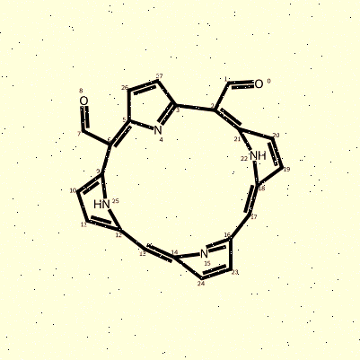 O=Cc1c2nc(c(C=O)c3ccc(cc4nc(cc5ccc1[nH]5)C=C4)[nH]3)C=C2